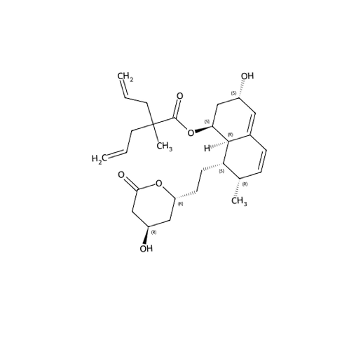 C=CCC(C)(CC=C)C(=O)O[C@H]1C[C@H](O)C=C2C=C[C@H](C)[C@H](CC[C@@H]3C[C@@H](O)CC(=O)O3)[C@H]21